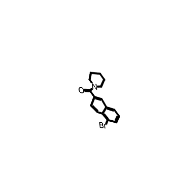 O=C(c1ccc2c(Br)cccc2c1)N1CCCCC1